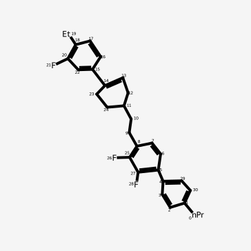 CCCc1ccc(-c2ccc(CCC3CC=C(c4ccc(CC)c(F)c4)CC3)c(F)c2F)cc1